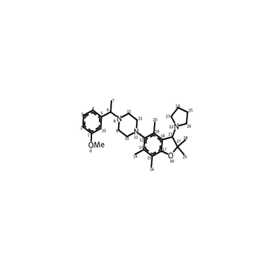 COc1cccc(C(C)N2CCN(c3c(C)c(C)c4c(c3C)C(N3CCCC3)C(C)(C)O4)CC2)c1